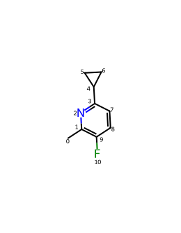 Cc1nc(C2CC2)ccc1F